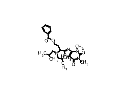 CC(C)CN(CC(C)C)C(CCOC(=O)c1ccccc1)c1nc2c([nH]1)c(=O)n(C)c(=O)n2C